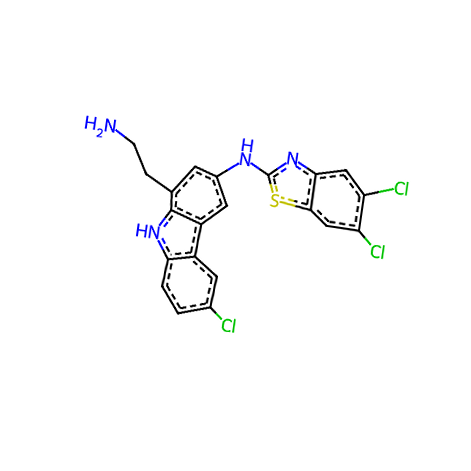 NCCc1cc(Nc2nc3cc(Cl)c(Cl)cc3s2)cc2c1[nH]c1ccc(Cl)cc12